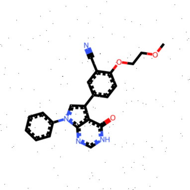 COCCOc1ccc(-c2cn(-c3ccccc3)c3nc[nH]c(=O)c23)cc1C#N